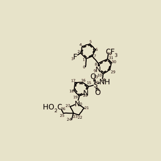 Cc1c(F)cccc1-c1nc(NS(=O)(=O)c2cccc(N3CCC(C)(CC(=O)O)C3)n2)ccc1C(F)(F)F